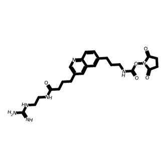 N=C(N)NCCNC(=O)CCCc1cnc2ccc(CCCNC(=O)ON3C(=O)CCC3=O)cc2c1